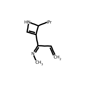 C=C/C(=N\C)C1=CNC1C(C)C